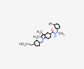 Cc1c(C)n(Cc2ccc(CCC(=O)O)cc2)c2ccc(C(=O)N[C@@H](C)c3cccc(C(C)C)c3)cc12